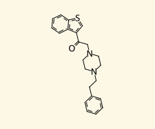 O=C(CN1CCN(CCc2ccccc2)CC1)c1csc2ccccc12